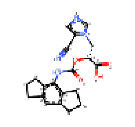 N#Cc1cncn1C[C@@H](OC(=O)Nc1c2c(cc3c1CCC3)CCC2)C(=O)O